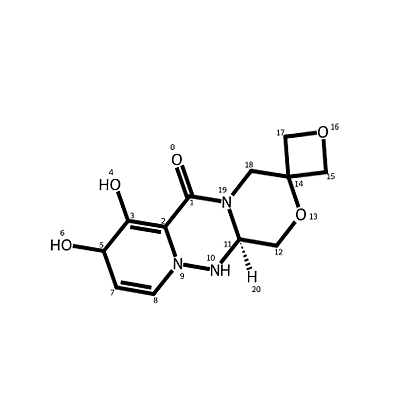 O=C1C2=C(O)C(O)C=CN2N[C@@H]2COC3(COC3)CN12